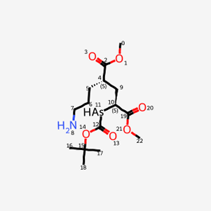 COC(=O)[C@@H](CCCN)C[C@H]([AsH]C(=O)OC(C)(C)C)C(=O)OC